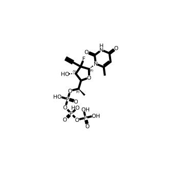 C#CC1(F)[C@@H](O)C([C@@H](C)OP(=O)(O)OP(=O)(O)OP(=O)(O)O)O[C@H]1n1c(C)cc(=O)[nH]c1=O